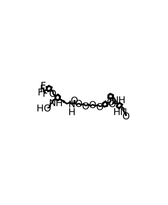 O=CNCc1ccc(C(=O)Nc2ccccc2Oc2ccc(OCCOCCOCCOCC(=O)NCCC#Cc3ccc(OCc4ccc(F)c(C(F)(F)F)c4)c(CNCCO)c3)cc2)cc1